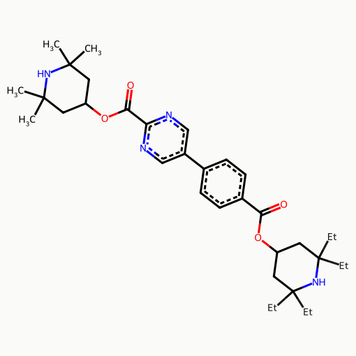 CCC1(CC)CC(OC(=O)c2ccc(-c3cnc(C(=O)OC4CC(C)(C)NC(C)(C)C4)nc3)cc2)CC(CC)(CC)N1